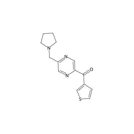 O=C(c1ccsc1)c1cnc(CN2CCCC2)cn1